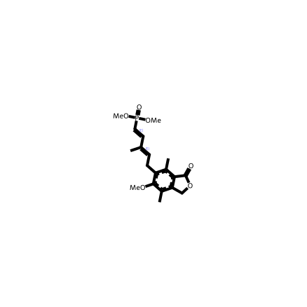 COc1c(C)c2c(c(C)c1C/C=C(C)/C=C/P(=O)(OC)OC)C(=O)OC2